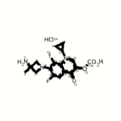 CC1(N)CN(c2c(F)cc3c(=O)c(OC(=O)O)cn(C4CC4)c3c2F)C1.Cl